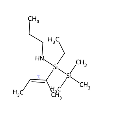 C/C=C(\C)[Si](CC)(NCCC)[Si](C)(C)C